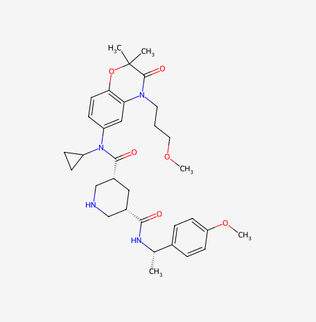 COCCCN1C(=O)C(C)(C)Oc2ccc(N(C(=O)[C@H]3CNC[C@@H](C(=O)N[C@@H](C)c4ccc(OC)cc4)C3)C3CC3)cc21